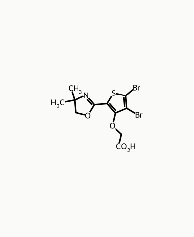 CC1(C)COC(c2sc(Br)c(Br)c2OCC(=O)O)=N1